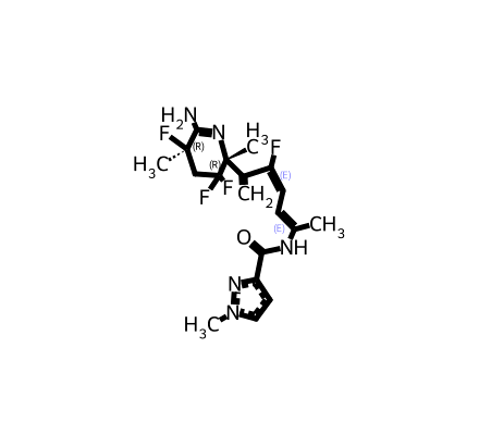 C=C(/C(F)=C\C=C(/C)NC(=O)c1ccn(C)n1)[C@@]1(C)N=C(N)[C@](C)(F)CC1(F)F